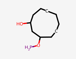 OC1CCCCCCCC(OP)C1